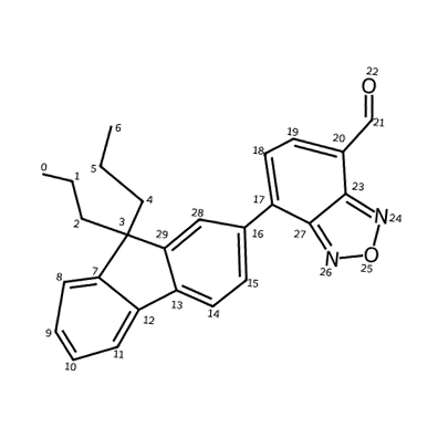 CCCC1(CCC)c2ccccc2-c2ccc(-c3ccc(C=O)c4nonc34)cc21